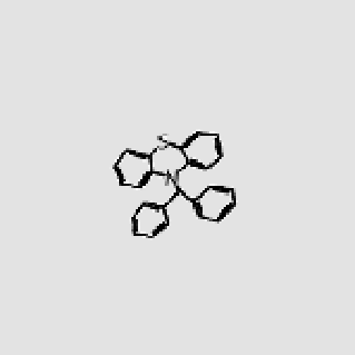 c1ccc(C(c2ccccc2)N2c3ccccc3Sc3ccccc32)cc1